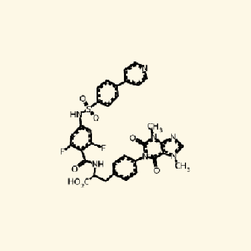 Cn1cnc2c1c(=O)n(-c1ccc(C[C@H](NC(=O)c3c(F)cc(NS(=O)(=O)c4ccc(-c5ccncc5)cc4)cc3F)C(=O)O)cc1)c(=O)n2C